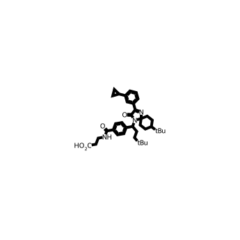 CC(C)(C)CCC(c1ccc(C(=O)NCCC(=O)O)cc1)N1C(=O)C(c2cccc(C3CC3)c2)=NC12CCC(C(C)(C)C)CC2